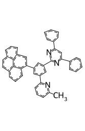 Cc1cccc(-c2cc(-c3nc(-c4ccccc4)cc(-c4ccccc4)n3)cc(-c3cc4cccc5ccc6cccc3c6c54)c2)n1